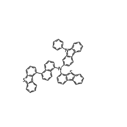 c1ccc(-n2c3ccccc3c3ccc(N(c4cccc5c(-c6cccc7sc8ccccc8c67)cccc45)c4cccc5c4sc4ccccc45)cc32)cc1